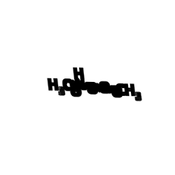 CCC(=O)NCCOCCOCCOC